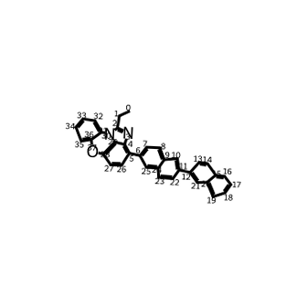 CCc1nc2c(-c3ccc4cc(-c5ccc6ccccc6c5)ccc4c3)ccc3c2n1-c1ccccc1O3